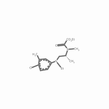 CCOC(=O)C(=O)N(C)[C@H](C)CN(CC)c1ccc(Cl)c(C)c1